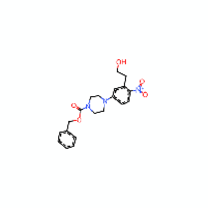 O=C(OCc1ccccc1)N1CCN(c2ccc([N+](=O)[O-])c(CCO)c2)CC1